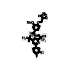 COc1cc(C(=O)NCC(O)(c2cc(C(C)(C)N)cc(-c3ccc(F)c(Cl)c3)n2)C(F)(F)F)ccc1OCc1nnn[nH]1